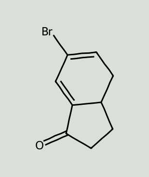 O=C1CCC2CC=C(Br)C=C12